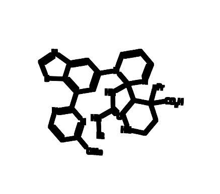 CCCC1(C(=O)O)CCNCC1C1(NC(=O)NCC)N=CC=CN1c1cc(-c2nccc(OC)n2)c2scnc2c1